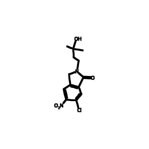 CC(C)(O)CCN1Cc2cc([N+](=O)[O-])c(Cl)cc2C1=O